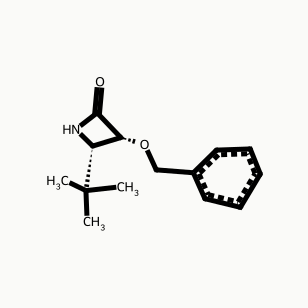 CC(C)(C)[C@@H]1NC(=O)[C@@H]1OCc1ccccc1